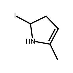 CC1=CCC(I)N1